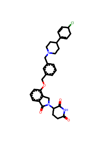 O=C1CCC(N2Cc3c(OCc4cccc(CN5CCC(C6=CCC(Cl)C=C6)CC5)c4)cccc3C2=O)C(=O)N1